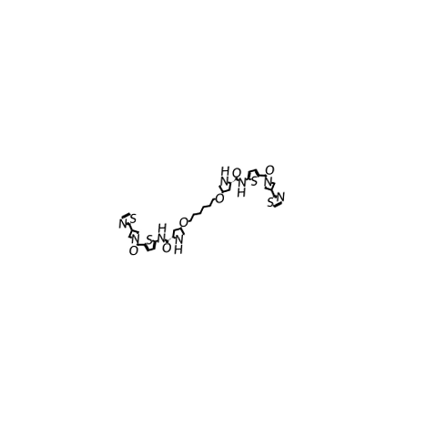 O=C(Nc1ccc(C(=O)N2CC(c3nccs3)C2)s1)[C@@H]1C[C@@H](OCCCCCCO[C@H]2CN[C@H](C(=O)Nc3ccc(C(=O)N4CC(c5nccs5)C4)s3)C2)CN1